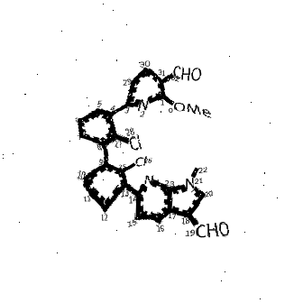 COc1nc(-c2cccc(-c3cccc(-c4ccc5c(C=O)cn(C)c5n4)c3Cl)c2Cl)ccc1C=O